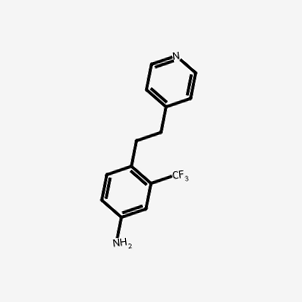 Nc1ccc(CCc2ccncc2)c(C(F)(F)F)c1